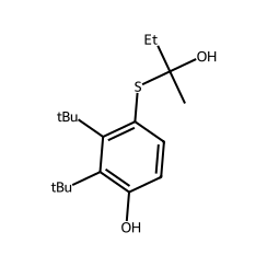 CCC(C)(O)Sc1ccc(O)c(C(C)(C)C)c1C(C)(C)C